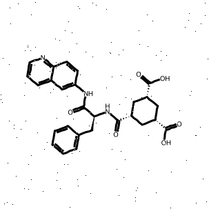 O=C(O)[C@@H]1C[C@H](C(=O)O)C[C@H](C(=O)N[C@@H](Cc2ccccc2)C(=O)Nc2ccc3ncccc3c2)C1